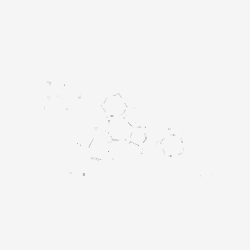 COc1ccc(-c2nc3c4cccc(OCCC(C)(C)OC)c4nc(N[C@@H]4CCCCNC4=O)n3n2)cc1